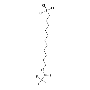 FC(F)(F)C(=S)OCCCCCCCCCCC[Si](Cl)(Cl)Cl